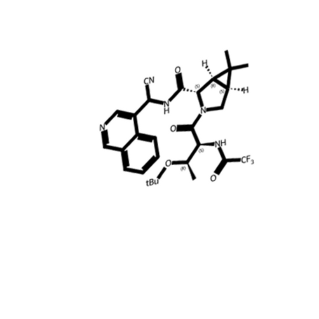 C[C@@H](OC(C)(C)C)[C@H](NC(=O)C(F)(F)F)C(=O)N1C[C@H]2[C@@H]([C@H]1C(=O)NC(C#N)c1cncc3ccccc13)C2(C)C